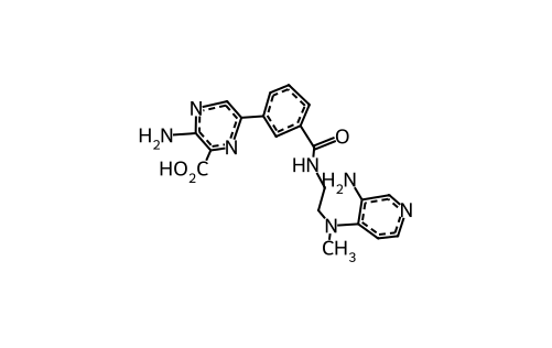 CN(CCNC(=O)c1cccc(-c2cnc(N)c(C(=O)O)n2)c1)c1ccncc1N